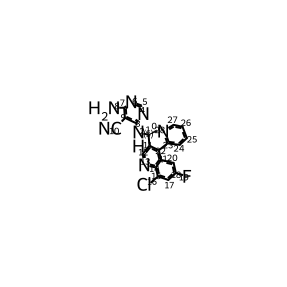 C[C@H](Nc1ncnc(N)c1C#N)c1cnc2c(Cl)cc(F)cc2c1-c1ccccn1